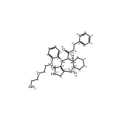 NCCOCCOc1ccccc1[C@@H]1C2=C(CNC2=O)N[C@@H]2CCCC[C@H]2N1C(=O)CCc1ccccn1